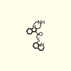 O=C(CSc1cccc2cccnc12)c1c2n(c3ccccc13)CCNCC2